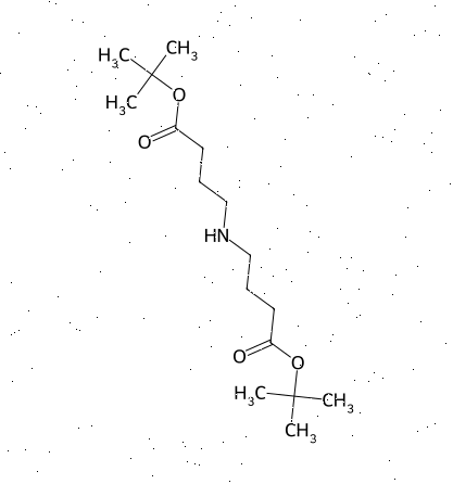 CC(C)(C)OC(=O)CCCNCCCC(=O)OC(C)(C)C